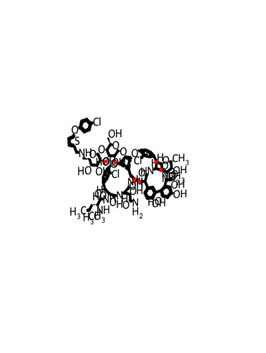 CN[C@H](CC(C)C)C(=O)NC1C(=O)N[C@@H](CC(N)=O)C(=O)N[C@H]2C(=O)N[C@H]3C(=O)N[C@H](C(=O)NC(C(=O)O)c4cc(O)cc(O)c4-c4cc3ccc4O)[C@H](C3C[C@](C)(N)[C@@H](O)[C@H](C)O3)c3ccc(c(Cl)c3)Oc3cc2cc(c3O[C@@H]2O[C@H](CO)[C@@H](O[C@@H]3O[C@H](CNCc4ccc(Oc5ccc(Cl)cc5)s4)[C@H](O)[C@H](O)[C@H]3O)[C@H](O)[C@H]2O)Oc2ccc(cc2Cl)[C@H]1O